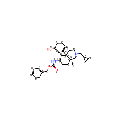 O=C(N[C@@H]1CC[C@@H]2CN(CC3CC3)CC[C@@]2(c2cccc(O)c2)C1)OCc1ccccc1